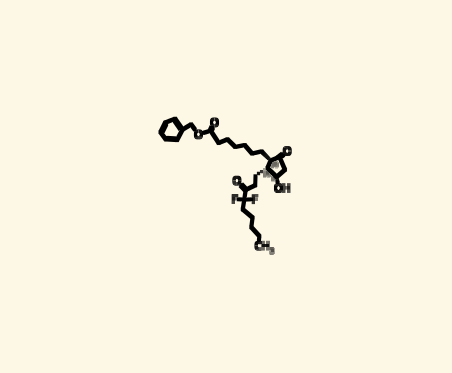 CCCCCC(F)(F)C(=O)CC[C@H]1[C@H](O)CC(=O)[C@@H]1CCCCCCC(=O)OCc1ccccc1